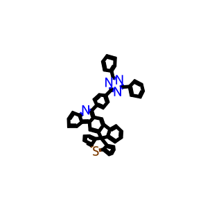 c1ccc(-c2nc(-c3ccccc3)nc(-c3ccc(-c4nc5ccccc5c5cc6c(cc45)-c4ccccc4C64c5ccccc5Sc5ccccc54)cc3)n2)cc1